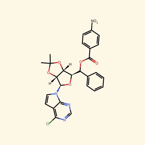 CC1(C)O[C@@H]2[C@H](O1)[C@@H](C(OC(=O)c1ccc([N+](=O)[O-])cc1)c1ccccc1)O[C@H]2n1ccc2c(Cl)ncnc21